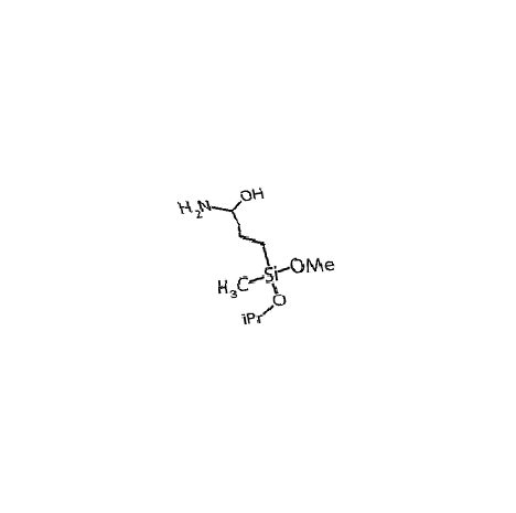 CO[Si](C)(CCC(N)O)OC(C)C